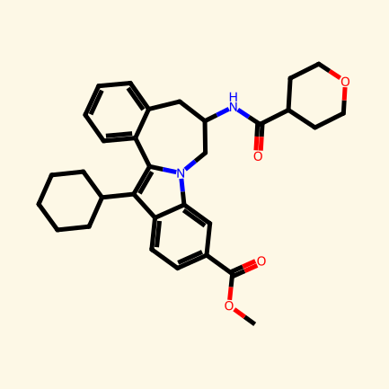 COC(=O)c1ccc2c(C3CCCCC3)c3n(c2c1)CC(NC(=O)C1CCOCC1)Cc1ccccc1-3